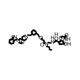 CCCCN(CCNC[C@H](O)c1ccc(O)c2c1OCC(=O)N2)C(=O)CCOCCc1cccc(CCN2CCC3(CC2)CN(c2nsc4ccccc24)CCO3)c1